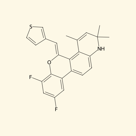 CC1=CC(C)(C)Nc2ccc3c(c21)/C(=C/c1ccsc1)Oc1c(F)cc(F)cc1-3